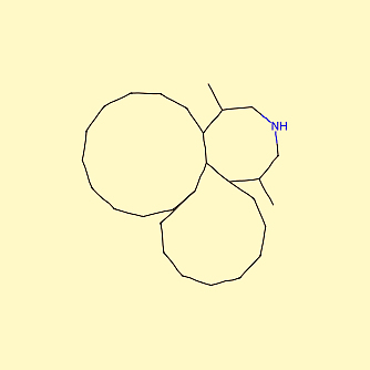 CC1CNCC(C)C2CCCCCCCCC3CCCCCCCCCCC1C32